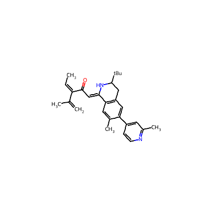 C=C(C)/C(=C/C)C(=O)/C=C1\NC(C(C)(C)C)Cc2cc(-c3ccnc(C)c3)c(C)cc21